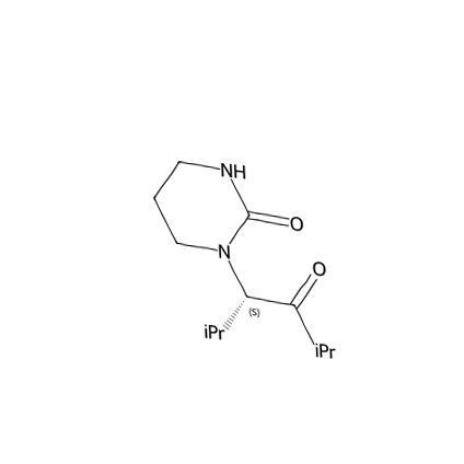 CC(C)C(=O)[C@H](C(C)C)N1CCCNC1=O